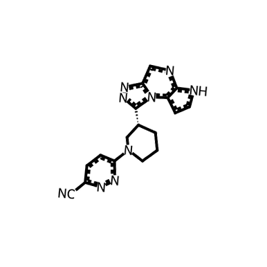 N#Cc1ccc(N2CCC[C@@H](c3nnc4cnc5[nH]ccc5n34)C2)nn1